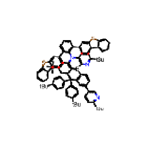 CC(C)(C)c1ccc(C2(c3ccc(C(C)(C)C)cc3)c3cc(-c4ccc(C(C)(C)C)nc4)ccc3B3c4nc(C(C)(C)C)ccc4N(c4c(-c5ccc6c(c5)sc5ccccc56)cccc4-c4ccc5c(c4)sc4ccccc45)c4cc([Si](C)(C)C)cc2c43)cc1